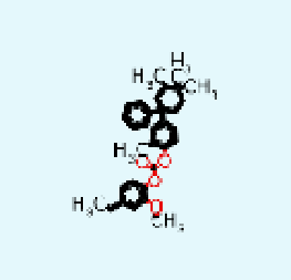 CCc1ccc(OC(=O)Oc2ccc(C3(c4ccccc4)CCC(C)(C)C(C)C3)cc2C)c(OC)c1